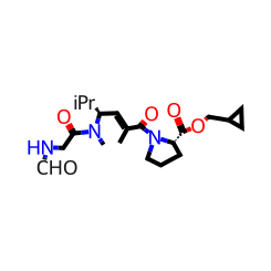 C/C(=C\[C@H](C(C)C)N(C)C(=O)CNC=O)C(=O)N1CCC[C@H]1C(=O)OCC1CC1